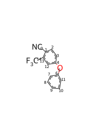 N#Cc1ccc(Oc2ccccc2)cc1C(F)(F)F